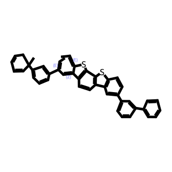 C\C=C(/C=c1\c(=C/C)sc2c1ccc1c3cc(-c4cccc(-c5ccccc5)c4)ccc3sc12)c1cccc(C2(C)C=CC=CC2)c1